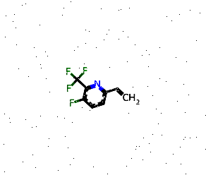 C=Cc1ccc(F)c(C(F)(F)F)n1